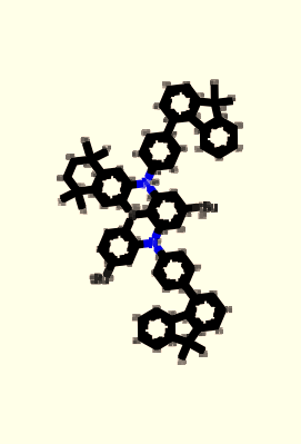 CC(C)(C)c1ccc2c(c1)N(c1ccc(-c3cccc4c3-c3ccccc3C4(C)C)cc1)c1cc(C(C)(C)C)cc3c1B2c1cc2c(cc1N3c1ccc(-c3cccc4c3-c3ccccc3C4(C)C)cc1)C(C)(C)CCC2(C)C